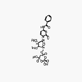 O=C(Nc1ccn([C@@H]2O[C@H](COP3(=O)CP(=O)(O)OP(=O)(O)O3)C(O)[C@@H]2O)c(=O)n1)c1ccccc1